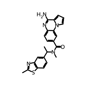 Cc1nc2cc(C(C)N(C)C(=O)c3ccc4nc(N)c5cccn5c4c3)ccc2s1